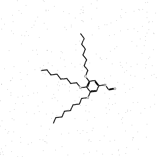 CCCCCCCCOc1cc([N]C=O)cc(OCCCCCCCC)c1OCCCCCCCC